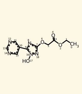 CCOC(=O)COc1nc(-c2cncnc2)n(O)n1